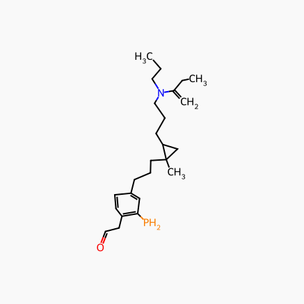 C=C(CC)N(CCC)CCCC1CC1(C)CCCc1ccc(CC=O)c(P)c1